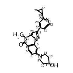 Cn1c(=O)c2ccc(N3CCC(O)CC3)cc2n2nc(-c3ccnc(C4CC4)c3)cc12